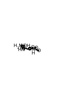 Nc1nc(O)c2c(CCc3ccc(C(=O)N[C@H](C=O)CCC=O)cc3)c[nH]c2n1